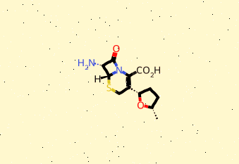 C[C@H]1CC[C@@H](C2=C(C(=O)O)N3C(=O)[C@@H](N)[C@H]3SC2)O1